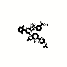 Cc1cccc(C)c1-c1cc(OC2CCCC(c3ncc(OC(C)C)cn3)N[C@@H]2CC(C)C)nc(NS(=O)(=O)c2cccc(C(=O)O)c2)n1